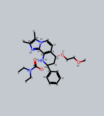 CCN(CC)C(=O)O[C@@]1(c2ccccc2)C[C@@H](OCCOC)c2ccn3c(C)c(C)nc3c2N1